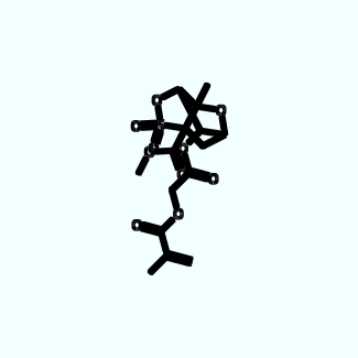 C=C(C)C(=O)OCC(=O)OC1C2CC3(C(=O)OC)C(C)(O2)C1OS3(=O)=O